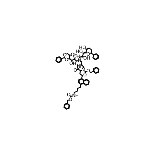 NC(=O)C(CCc1ccc(CCCCNC(=O)OCc2ccccc2)c2ccccc12)N(CCCN(C[C@H](O)[C@@H](O)[C@@H]1OC(c2ccccc2)CC[C@H]1O)C[C@H](O)[C@@H](O)[C@@H]1OC(c2ccccc2)OC[C@H]1O)C(=O)OCc1ccccc1